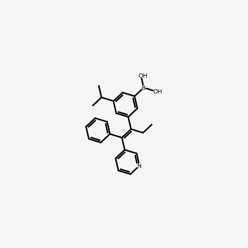 CC/C(=C(/c1ccccc1)c1cccnc1)c1cc(B(O)O)cc(C(C)C)c1